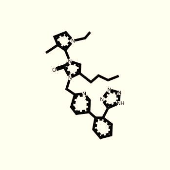 CCCCc1cn(-c2c(C)ccn2CC)c(=O)n1Cc1ccc(-c2ccccc2-c2nnn[nH]2)cn1